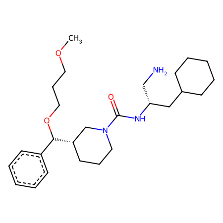 COCCCOC(c1ccccc1)[C@H]1CCCN(C(=O)N[C@H](CN)CC2CCCCC2)C1